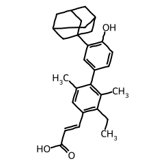 CCc1c(C=CC(=O)O)cc(C)c(-c2ccc(O)c(C34CC5CC(CC(C5)C3)C4)c2)c1C